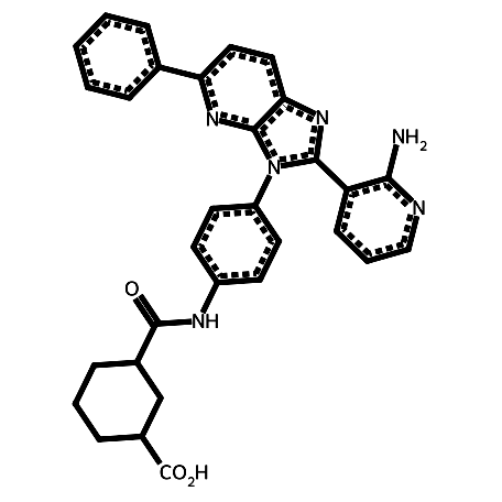 Nc1ncccc1-c1nc2ccc(-c3ccccc3)nc2n1-c1ccc(NC(=O)C2CCCC(C(=O)O)C2)cc1